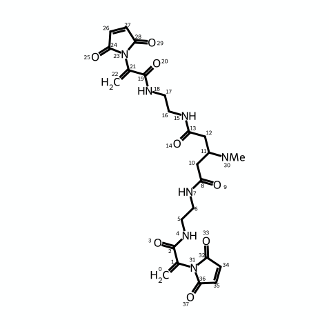 C=C(C(=O)NCCNC(=O)CC(CC(=O)NCCNC(=O)C(=C)N1C(=O)C=CC1=O)NC)N1C(=O)C=CC1=O